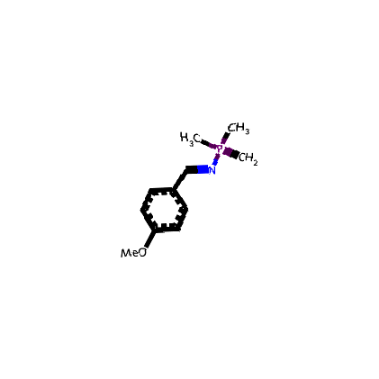 C=P(C)(C)N=Cc1ccc(OC)cc1